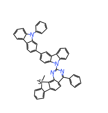 C[Si]1(C)c2ccccc2-c2ccc3c(-c4ccccc4)nc(-n4c5ccccc5c5cc(-c6ccc7c8ccccc8n(-c8ccccc8)c7c6)ccc54)nc3c21